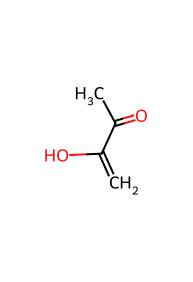 C=C(O)C(C)=O